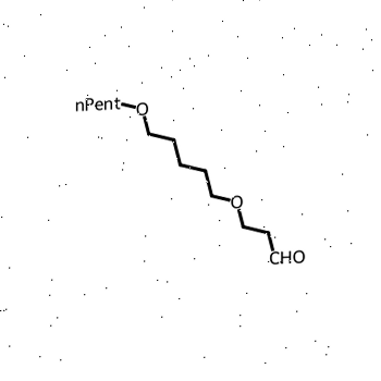 CCCCCOCCCCCOCCC=O